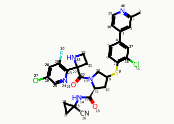 Cc1cc(-c2ccc(SC3C[C@@H](C(=O)NC4(C#N)CC4)N(C(=O)C4(c5ncc(Cl)cc5F)CCN4)C3)c(Cl)c2)ccn1